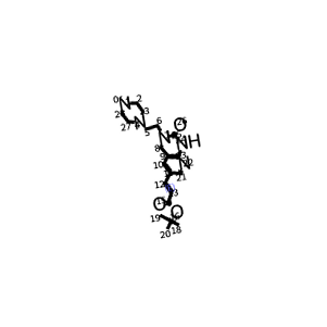 CN1CCN(CCN2Cc3cc(/C=C/C(=O)OC(C)(C)C)cnc3NC2=O)CC1